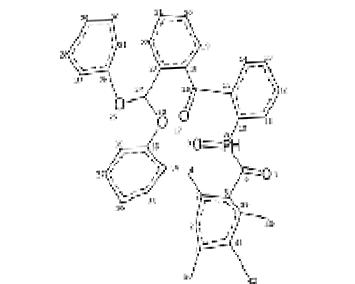 Cc1cc(C)c(C(=O)[PH](=O)c2ccccc2C(=O)c2ccccc2C(Oc2ccccc2)Oc2ccccc2)c(C)c1C